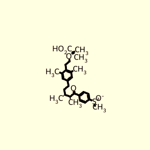 Cc1cc(CC[C@@H](C)[C@H](C)C(=O)c2ccc([S+](C)[O-])cc2)cc(C)c1CCOC(C)(C)C(=O)O